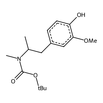 COc1cc(CC(C)N(C)C(=O)OC(C)(C)C)ccc1O